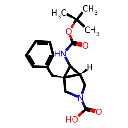 CC(C)(C)OC(=O)NC1[C@@H]2CN(C(=O)O)C[C@]12Cc1ccccc1